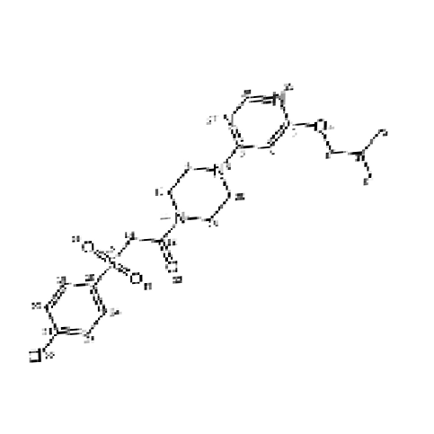 CC(C)COc1cc(N2CCN(C(=O)CS(=O)(=O)c3ccc(Cl)cc3)CC2)ncn1